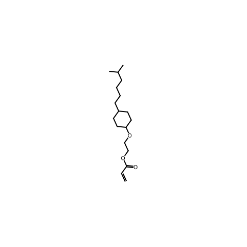 C=CC(=O)OCCOC1CCC(CCCCC(C)C)CC1